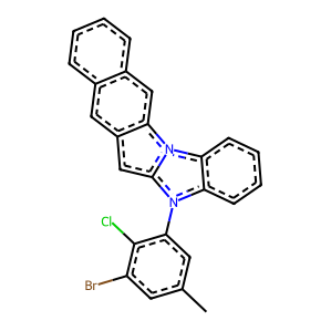 Cc1cc(Br)c(Cl)c(-n2c3ccccc3n3c4cc5ccccc5cc4cc23)c1